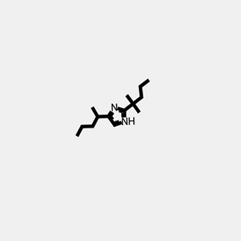 CCCC(C)c1c[nH]c(C(C)(C)CCC)n1